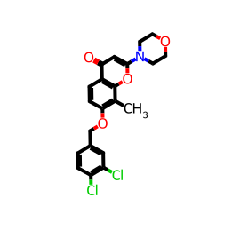 Cc1c(OCc2ccc(Cl)c(Cl)c2)ccc2c(=O)cc(N3CCOCC3)oc12